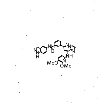 COc1ccc(Nc2cc(-c3cccc(C(=O)Nc4ccc5[nH]ncc5c4)c3)nn3ccnc23)nc1OC